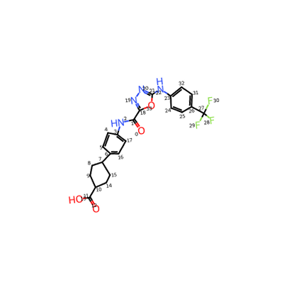 O=C(Nc1ccc(C2CCC(C(=O)O)CC2)cc1)c1nnc(Nc2ccc(C(F)(F)F)cc2)o1